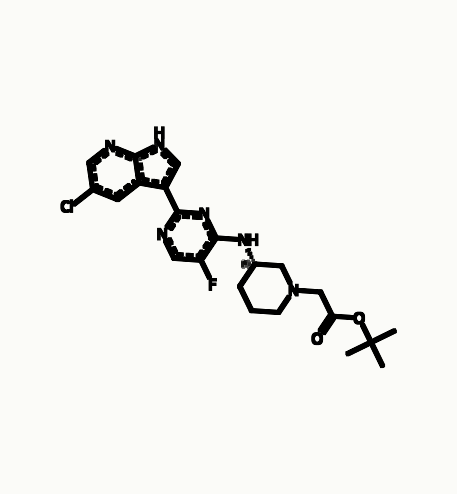 CC(C)(C)OC(=O)CN1CCC[C@H](Nc2nc(-c3c[nH]c4ncc(Cl)cc34)ncc2F)C1